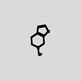 CC(C)N1CCc2ccoc2C1